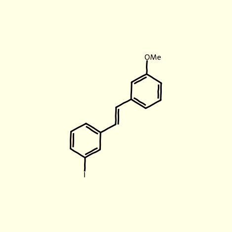 COc1cccc(/C=C/c2cccc(I)c2)c1